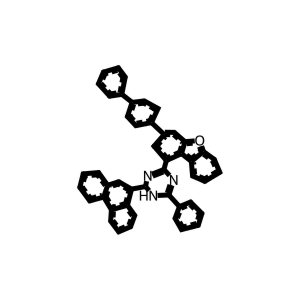 c1ccc(C2=NC(c3cc(-c4ccc(-c5ccccc5)cc4)cc4oc5ccccc5c34)=NC(c3cc4ccccc4c4ccccc34)N2)cc1